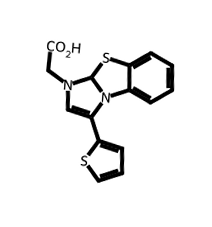 O=C(O)CN1C=C(c2cccs2)N2c3ccccc3SC12